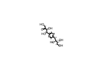 O=C(CO)[C@@H](O)[C@H](O)c1cnc(C[C@H](O)[C@H](O)CO)cn1